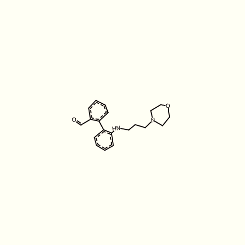 O=Cc1ccccc1-c1ccccc1NCCCN1CCOCC1